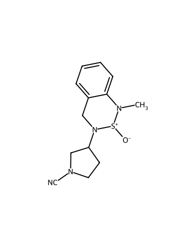 CN1c2ccccc2CN(C2CCN(C#N)C2)[S+]1[O-]